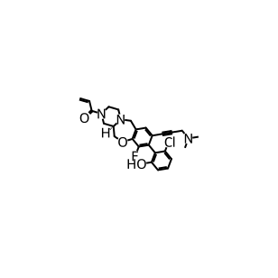 C=CC(=O)N1CCN2Cc3cc(C#CCN(C)C)c(-c4c(O)cccc4Cl)c(F)c3OC[C@H]2C1